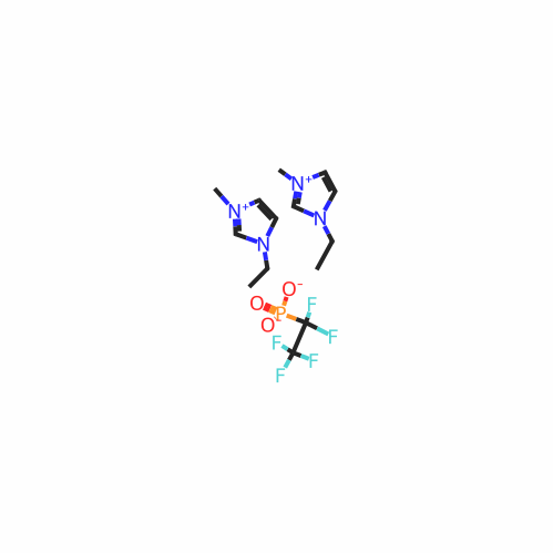 CCn1cc[n+](C)c1.CCn1cc[n+](C)c1.O=P([O-])([O-])C(F)(F)C(F)(F)F